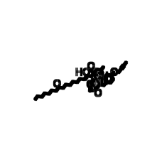 CC#CCOc1ccc(C[C@H](NC(=O)[C@@H](/C=C/CCCCCCC(=O)CCCCCCC)[C@@](O)(CC(C)C)C(=O)O)C(=O)OC)cc1